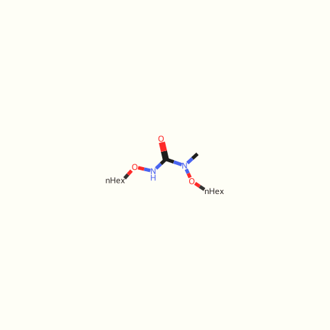 CCCCCCONC(=O)N(C)OCCCCCC